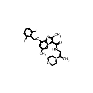 Cc1cc(OCc2c(F)cccc2F)c2nc(C)c(C(=O)NCC(C)N3CCOCC3)n2c1